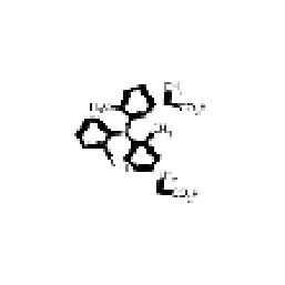 C=CC(=O)O.C=CC(=O)O.Cc1ccccc1N(c1ccccc1C)c1ccccc1C